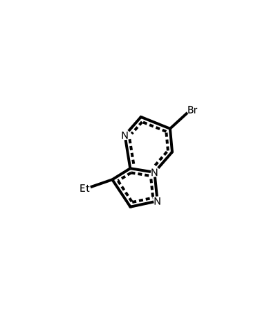 CCc1cnn2cc(Br)cnc12